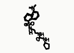 CN(C)c1cccc2c(S(=O)(=O)NCCNC(=O)NC3CCCC3)cccc12